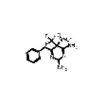 NC1=NC(N)N=C(Cc2ccccc2)C1([N+](=O)[O-])C(F)(F)F